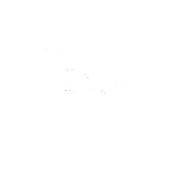 COc1cc(C=CC(=O)O)ccc1COc1cc(C)c(C)cc1N(CC(C)C)S(=O)(=O)c1nc(C)cs1